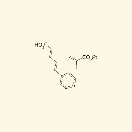 C=C(C)C(=O)OCC.O=C(O)C=CC=Cc1ccccc1